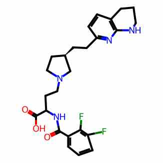 O=C(NC(CCN1CC[C@@H](CCc2ccc3c(n2)NCCC3)C1)C(=O)O)c1cccc(F)c1F